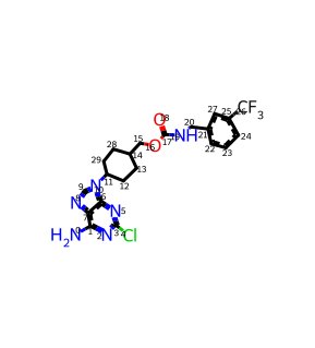 Nc1nc(Cl)nc2c1ncn2C1CCC(COC(=O)NCc2cccc(C(F)(F)F)c2)CC1